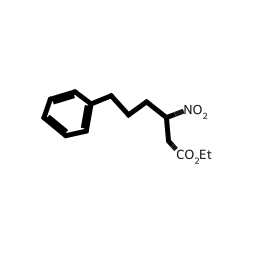 CCOC(=O)CC(CCCc1ccccc1)[N+](=O)[O-]